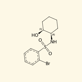 O=S(=O)(N[C@@H]1CCCC[C@@H]1O)c1ccccc1Br